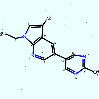 CC(=O)c1cn(CC(C)(C)C)c2ncc(-c3cnc(C)nc3)cc12